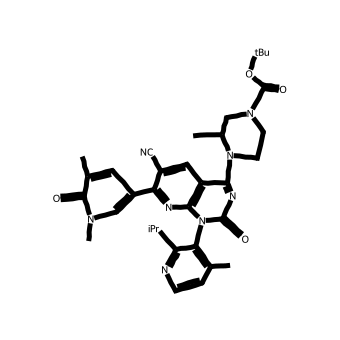 Cc1ccnc(C(C)C)c1-n1c(=O)nc(N2CCN(C(=O)OC(C)(C)C)CC2C)c2cc(C#N)c(-c3cc(C)c(=O)n(C)c3)nc21